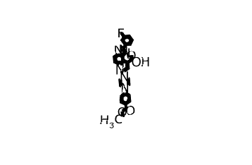 CCOC(=O)c1ccc(N2CCN(c3cc(C(=O)O)c4c(ccc5nn(-c6cccc(F)c6)nc54)n3)CC2)cc1